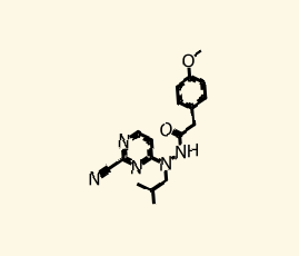 COc1ccc(CC(=O)NN(CC(C)C)c2ccnc(C#N)n2)cc1